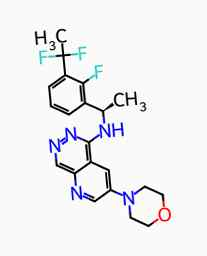 C[C@@H](Nc1nncc2ncc(N3CCOCC3)cc12)c1cccc(C(C)(F)F)c1F